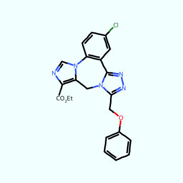 CCOC(=O)c1ncn2c1Cn1c(COc3ccccc3)nnc1-c1cc(Cl)ccc1-2